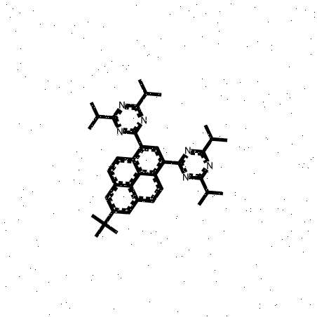 CC(C)c1nc(-c2cc(-c3nc(C(C)C)nc(C(C)C)n3)c3ccc4cc(C(C)(C)C)cc5ccc2c3c54)nc(C(C)C)n1